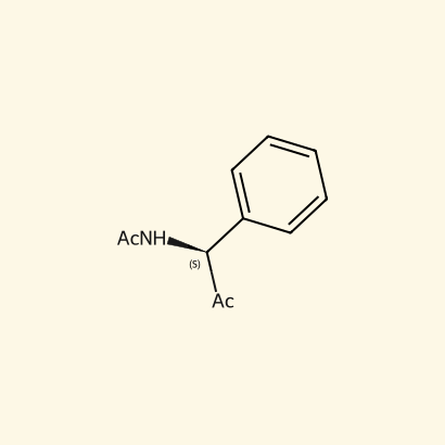 CC(=O)N[C@H](C(C)=O)c1ccccc1